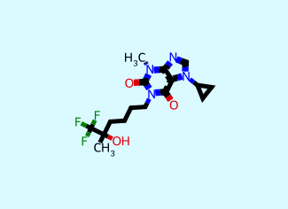 Cn1c(=O)n(CCCCC(C)(O)C(F)(F)F)c(=O)c2c1ncn2C1CC1